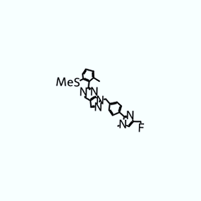 CSc1cccc(C)c1-c1ncc2cnn(Cc3ccc(-c4nc(CF)cn4C)cc3)c2n1